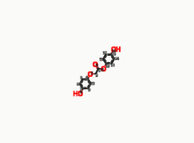 O=C(COc1ccc(O)cc1)Oc1ccc(O)cc1